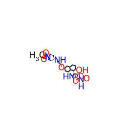 CS(=O)(=O)N1CCC(NCCOc2ccc3c(C(=N)[C@@H]4CCC(=O)NC4=O)c(O)ccc3c2)CC1